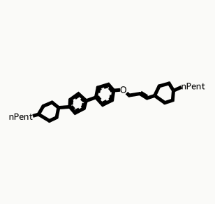 CCCCCC1CCC(/C=C/COc2ccc(-c3ccc(C4CCC(CCCCC)CC4)cc3)cc2)CC1